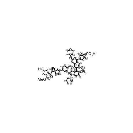 COC(=O)[C@@H]1C[C@@H](O)CN1C(=O)[C@H](C(C)C)n1cc(-c2ccc(COc3c(-c4c(C)c(F)cc5c4cnn5C4CCCCO4)c(C4CC4)cc4c(N5C[C@@H]6C[C@H]5CN6C(=O)O)nc(OC5CCOCC5)nc34)cc2)nn1